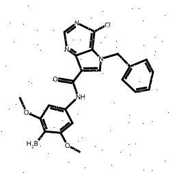 Bc1c(OC)cc(NC(=O)c2cn(Cc3ccccc3)c3c(Cl)ncnc23)cc1OC